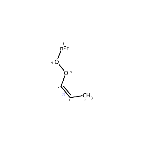 C/C=C\OOCCC